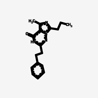 CCCc1nc(C)c2c(=O)[nH]c(CCc3ccccc3)nn12